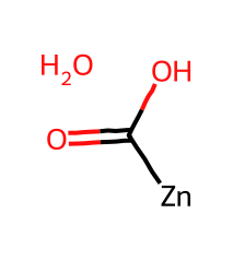 O.O=[C](O)[Zn]